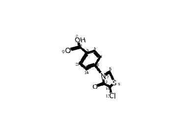 O=C(O)c1ccc(N2CSC(Cl)C2=O)cc1